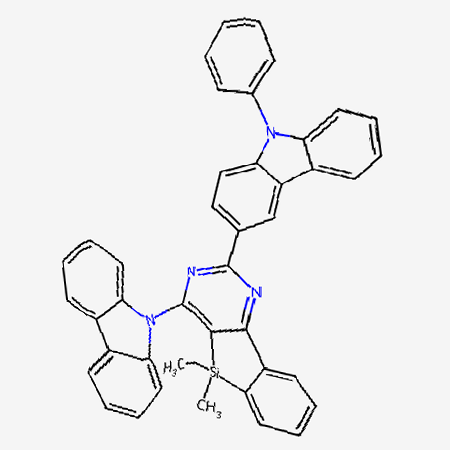 C[Si]1(C)c2ccccc2-c2nc(-c3ccc4c(c3)c3ccccc3n4-c3ccccc3)nc(-n3c4ccccc4c4ccccc43)c21